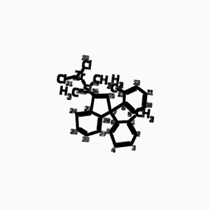 Cc1ccccc1C1(c2ccccc2C)C=C([Si](C)(C)[Zr]([Cl])[Cl])c2ccccc21